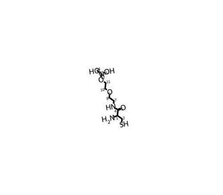 NC(CS)C(=O)NCCOCCON(O)O